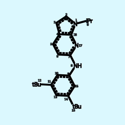 CC(C)n1ccc2ccc(Nc3cc(C(C)(C)C)cc(C(C)(C)C)c3)nc21